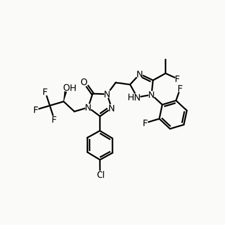 CC(F)C1=NC(Cn2nc(-c3ccc(Cl)cc3)n(C[C@H](O)C(F)(F)F)c2=O)NN1c1c(F)cccc1F